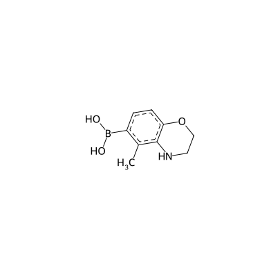 Cc1c(B(O)O)ccc2c1NCCO2